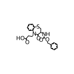 O=C(O)CCN1C(=O)C(NC(=O)OCc2ccccc2)CSc2ccccc21